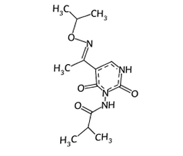 C/C(=N\OC(C)C)c1c[nH]c(=O)n(NC(=O)C(C)C)c1=O